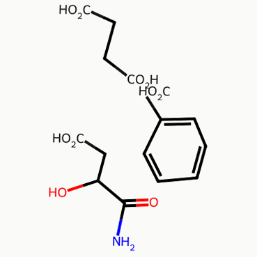 NC(=O)C(O)CC(=O)O.O=C(O)CCC(=O)O.O=C(O)c1ccccc1